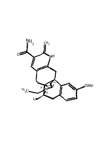 C=C1NC2=C(C=C1C(N)=O)C[C@@]1(O)[C@H]3Cc4ccc(OC)cc4[C@@]1(CCN3C)C2